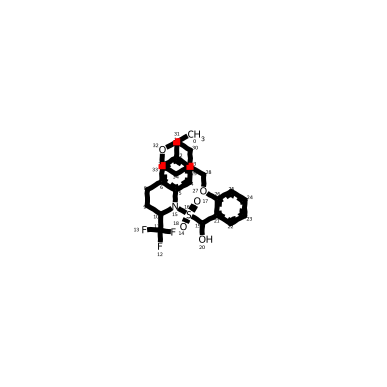 CCc1ccc2c(c1)CCC(C(F)(F)F)N2S(=O)(=O)C(O)c1ccccc1OCC1CCOCC1